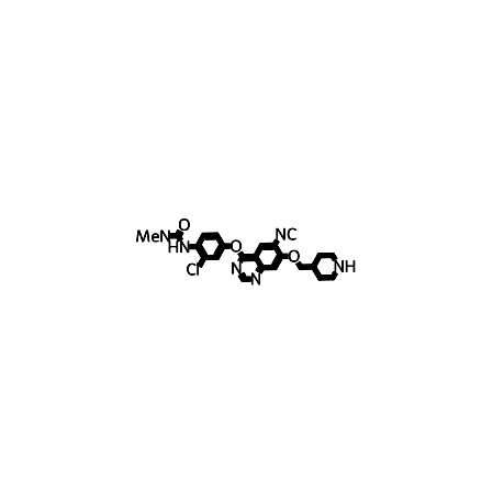 [C-]#[N+]c1cc2c(Oc3ccc(NC(=O)NC)c(Cl)c3)ncnc2cc1OCC1CCNCC1